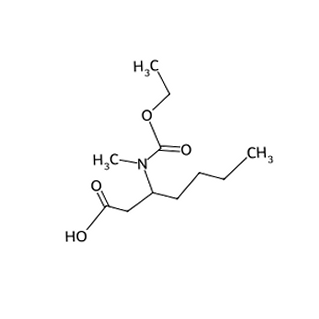 CCCCC(CC(=O)O)N(C)C(=O)OCC